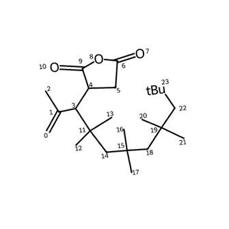 C=C(C)C(C1CC(=O)OC1=O)C(C)(C)CC(C)(C)CC(C)(C)CC(C)(C)C